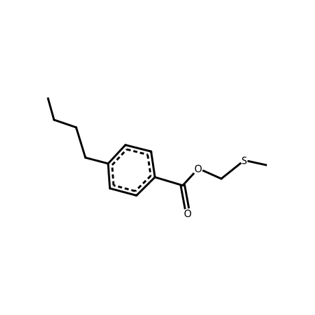 CCCCc1ccc(C(=O)OCSC)cc1